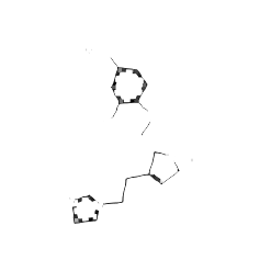 COc1ccc(OC[C@@H]2OCC=C2CCn2ccnc2)c(Cl)c1.Cl